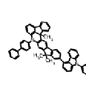 CC1(C)c2cc(-c3cccc4c3c3ccccc3n4-c3ccccc3)ccc2-c2cc3c(cc21)N(c1ccc(-c2ccccc2)cc1)c1cccc2c1C3(C)c1ccccc1-2